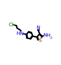 N#Cc1c(-c2ccc(NCCCCl)cc2)csc1N